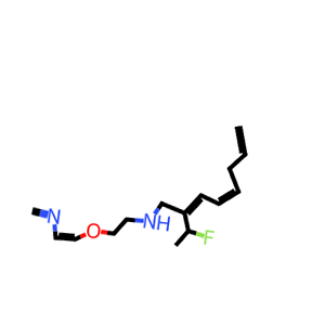 C=CC/C=C\C=C(\CNCCO/C=C\N=C)C(C)F